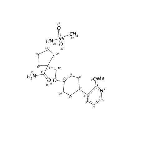 COc1ncccc1C1CCC(OC[C@]2(C(N)=O)CC[C@H](NS(C)(=O)=O)C2)CC1